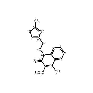 CCOC(=O)c1c(O)c2ccccc2n(OCc2csc(C(F)(F)F)n2)c1=O